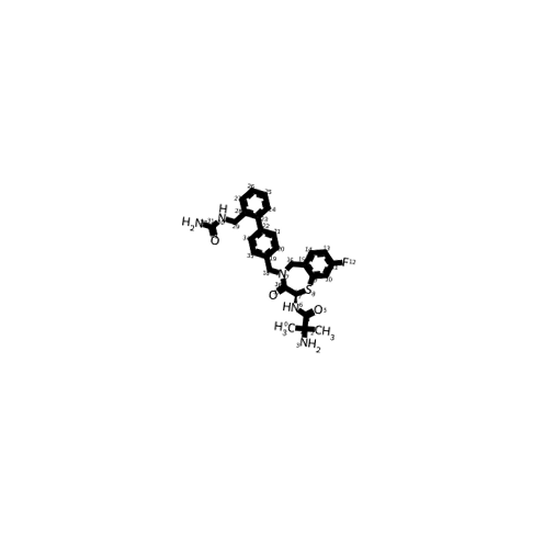 CC(C)(N)C(=O)N[C@@H]1Sc2cc(F)ccc2CN(Cc2ccc(-c3ccccc3CNC(N)=O)cc2)C1=O